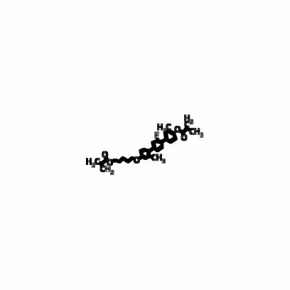 C=C(C)C(=O)OCCCCCOc1ccc(-c2ccc(-c3ccc(OC(=O)C(=C)C)c(C)c3)c(F)c2)c(C)c1